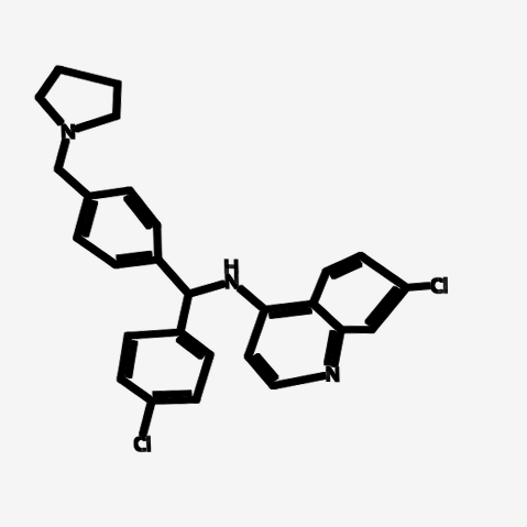 Clc1ccc(C(Nc2ccnc3cc(Cl)ccc23)c2ccc(CN3CCCC3)cc2)cc1